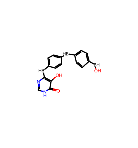 O=c1[nH]cnc(Bc2ccc(Bc3ccc(BO)cc3)cc2)c1O